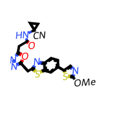 COc1ncc(-c2ccc3nc(Cc4nnc(CC(=O)NC5(C#N)CC5)o4)sc3c2)s1